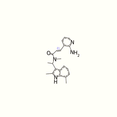 Cc1[nH]c2c(C)cccc2c1C(C)N(C)C(=O)/C=C/c1cccnc1N